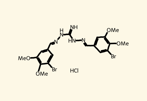 COc1cc(C=NNC(=N)NN=Cc2cc(Br)c(OC)c(OC)c2)cc(Br)c1OC.Cl